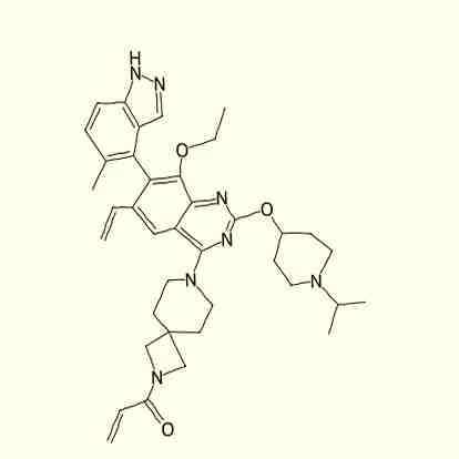 C=CC(=O)N1CC2(CCN(c3nc(OC4CCN(C(C)C)CC4)nc4c(OCC)c(-c5c(C)ccc6[nH]ncc56)c(C=C)cc34)CC2)C1